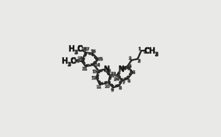 CCCCc1ccc2ccc3ccc(-c4ccc(C)c(C)c4)nc3c2n1